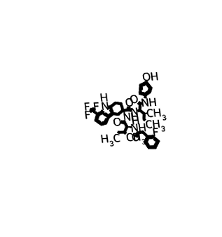 CCC(C)[C@H](NC(=O)Cc1ccccc1F)C(=O)N[C@]1(C(=O)NC(C(=O)Nc2ccc(O)cc2)[C@@H](C)CC)CCc2[nH]c3c(C(F)(F)F)cccc3c2C1